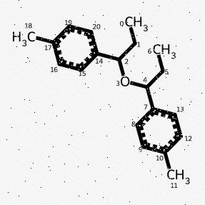 CCC(OC(CC)c1ccc(C)cc1)c1ccc(C)cc1